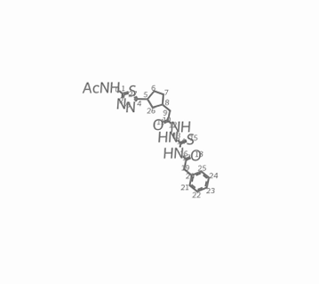 CC(=O)Nc1nnc(C2CCC(CC(=O)NNC(=S)NC(=O)Cc3ccccc3)C2)s1